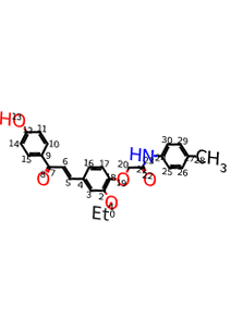 CCOc1cc(/C=C/C(=O)c2ccc(O)cc2)ccc1OCC(=O)Nc1ccc(C)cc1